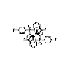 O=P(c1ccc(F)cc1)(c1ccc(F)cc1)c1ccc2ccccc2c1-c1c(P(=O)(c2ccc(F)cc2)c2ccc(F)cc2)ccc2ccccc12